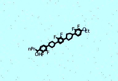 CCCC(O)c1ccc(C2CCC(c3ccc(C4CCC(c5ccc(OCC)c(F)c5F)CC4)c(F)c3F)CC2)c(F)c1F